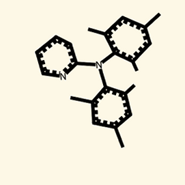 Cc1cc(C)c(N(c2ccccn2)c2c(C)cc(C)cc2C)c(C)c1